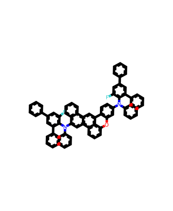 Fc1cc(-c2ccccc2)cc(-c2ccccc2)c1N(c1ccccc1)c1ccc2c(c1)Oc1cccc3c1c-2cc1c2ccccc2c(N(c2ccccc2)c2c(F)cc(-c4ccccc4)cc2-c2ccccc2)cc31